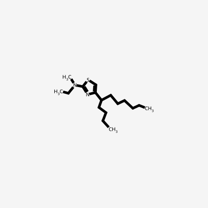 CCCCCCC(CCCC)c1csc(N(C)CC)n1